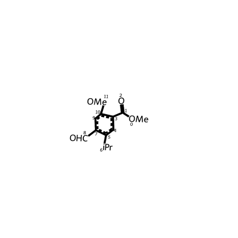 COC(=O)c1cc(C(C)C)c(C=O)cc1OC